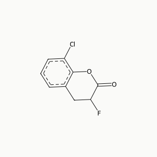 O=C1Oc2c(Cl)cccc2CC1F